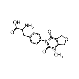 Cn1c2c(c(=O)n(-c3ccc(CC(N)C(=O)O)cc3)c1=O)COC2